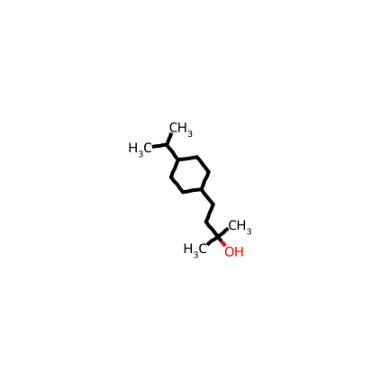 CC(C)C1CCC(CCC(C)(C)O)CC1